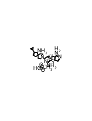 CS(=O)(=O)O.Nc1nc(N2CCC3(CC=C(C4CC4)C3N)CC2)cnc1Sc1ccnc(N)c1Cl